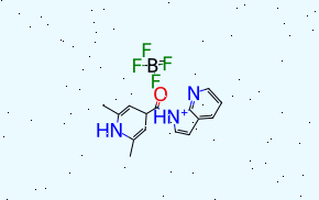 CC1=CC(C(=O)[NH+]2C=Cc3cccnc32)C=C(C)N1.F[B-](F)(F)F